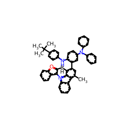 Cc1cc(-c2cc(N(c3ccccc3)c3ccccc3)ccc2Nc2ccc(C(C)(C)C)cc2)c2c3c1c1ccccc1n3-c1c(oc3ccccc13)B2